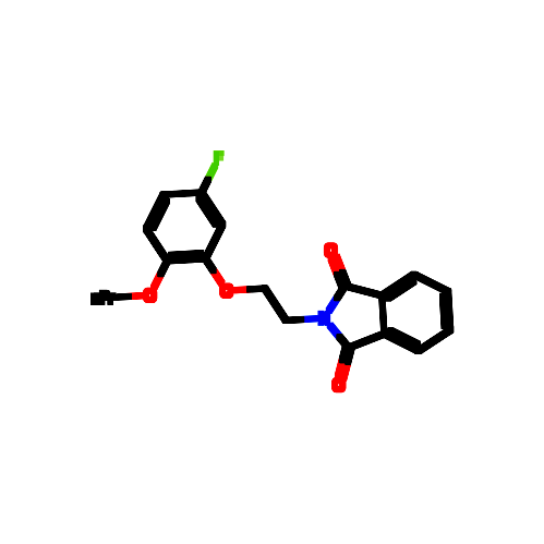 CCCOc1ccc(F)cc1OCCN1C(=O)c2ccccc2C1=O